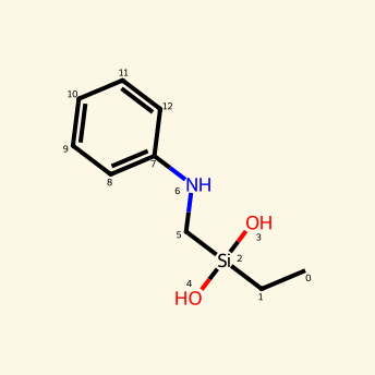 CC[Si](O)(O)CNc1ccccc1